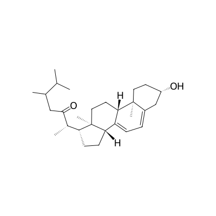 CC(C)C(C)CC(=O)[C@@H](C)[C@H]1CC[C@H]2C3=CC=C4C[C@@H](O)CC[C@]4(C)[C@H]3CC[C@]12C